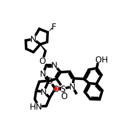 CN1C(c2cc(O)cc3ccccc23)=Cc2nc(OC[C@@]34CCCN3C[C@H](F)C4)nc(N3C4CNCC3COC4)c2S1(=O)=O